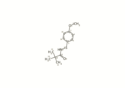 COc1ccc(SNC(=O)C(C)(C)C)cc1